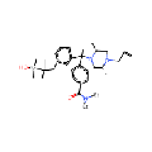 C=CCN1C[C@H](C)N(C(C)(c2ccc(C(=O)N(CC)CC)cc2)c2cccc(CC(C)(C)[Si](C)(C)O)c2)C[C@H]1C